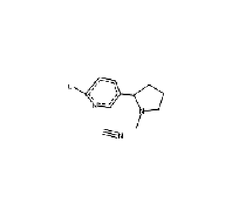 C#N.CN1CCCC1c1ccc(Cl)nc1